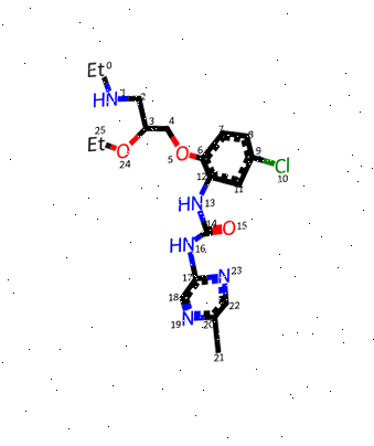 CCNCC(COc1ccc(Cl)cc1NC(=O)Nc1cnc(C)cn1)OCC